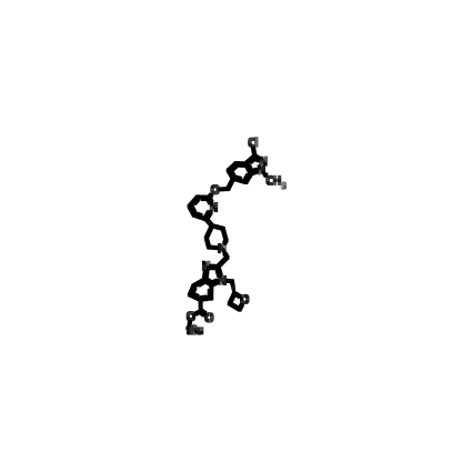 Cn1nc(Cl)c2ccc(COc3cccc(C4CCN(Cc5nc6ccc(C(=O)OC(C)(C)C)cc6n5C[C@@H]5CCO5)CC4)n3)cc21